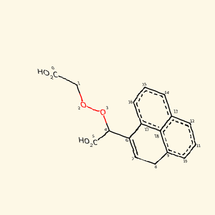 O=C(O)COOC(C(=O)O)C1=CCc2cccc3cccc1c23